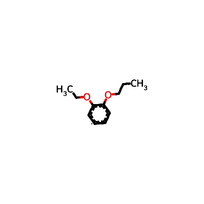 CCCOc1cc[c]cc1OCC